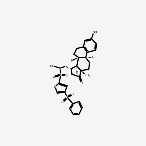 CN(C[C@H]1CC(=O)[C@@]2(C)CC[C@@H]3c4ccc(O)cc4CC[C@H]3[C@H]12)S(=O)(=O)c1cc(S(=O)(=O)c2ccccc2)cs1